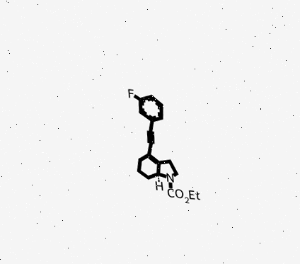 CCOC(=O)N1CCC2=C(C#Cc3cccc(F)c3)CCC[C@@H]21